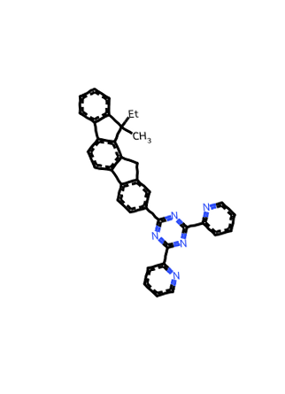 CCC1(C)c2ccccc2-c2ccc3c(c21)Cc1cc(-c2nc(-c4ccccn4)nc(-c4ccccn4)n2)ccc1-3